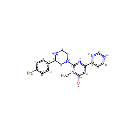 Cn1c(N2CCNC(c3ccc(Br)cc3)C2)nc(-c2ccncn2)cc1=O